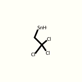 ClC(Cl)(Cl)[CH2][SnH]